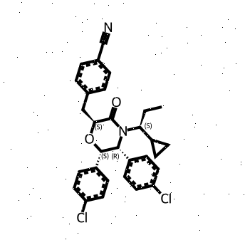 CC[C@@H](C1CC1)N1C(=O)[C@H](Cc2ccc(C#N)cc2)O[C@@H](c2ccc(Cl)cc2)[C@H]1c1ccc(Cl)cc1